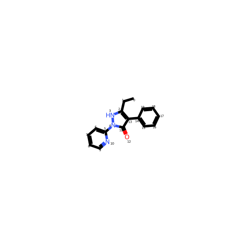 CCc1[nH]n(-c2ccccn2)c(=O)c1-c1ccccc1